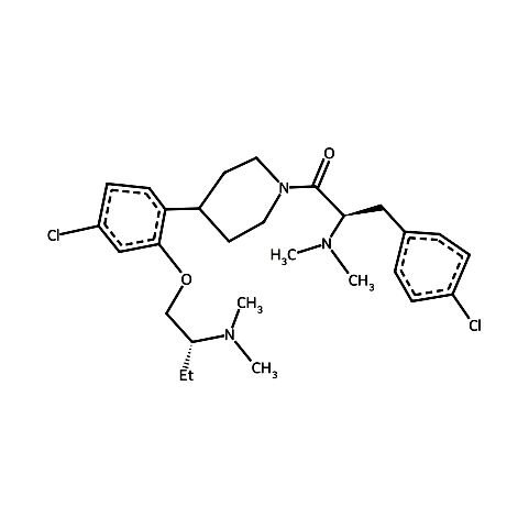 CC[C@H](COc1cc(Cl)ccc1C1CCN(C(=O)[C@@H](Cc2ccc(Cl)cc2)N(C)C)CC1)N(C)C